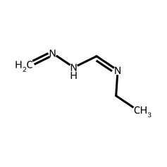 C=NN/C=N\CC